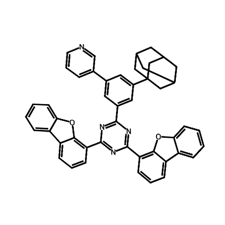 c1cncc(-c2cc(-c3nc(-c4cccc5c4oc4ccccc45)nc(-c4cccc5c4oc4ccccc45)n3)cc(C34CC5CC(CC(C5)C3)C4)c2)c1